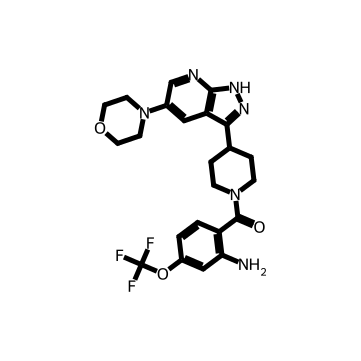 Nc1cc(OC(F)(F)F)ccc1C(=O)N1CCC(c2n[nH]c3ncc(N4CCOCC4)cc23)CC1